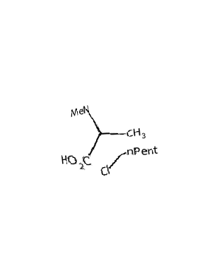 CCCCCCl.CNC(C)C(=O)O